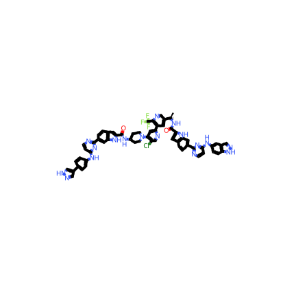 C[C@@H](NC(=O)c1cc2ccc(-c3nccc(Nc4ccc5[nH]ncc5c4)n3)cc2[nH]1)c1cnc(C(F)(F)F)c(-c2cc(N3CCC(NC(=O)c4cc5ccc(-c6nccc(Nc7ccc(-c8cn[nH]c8)cc7)n6)cc5[nH]4)CC3)c(Cl)cn2)c1